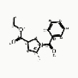 CCOC(=O)C1C[C@@H](C)N(C(=O)c2ccccc2)C1